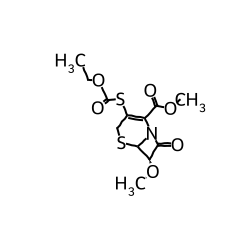 CCOC(=O)SC1=C(C(=O)OC)N2C(=O)[C@H](OC)C2SC1